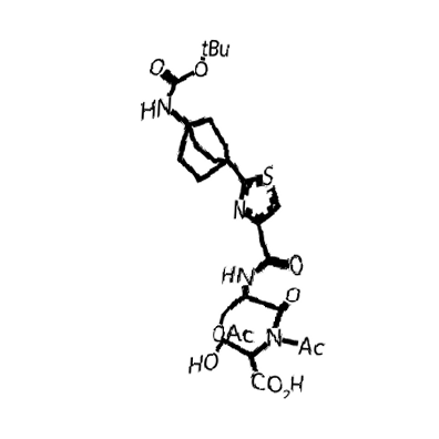 CC(=O)OCC(NC(=O)c1csc(C23CCC(NC(=O)OC(C)(C)C)(CC2)CC3)n1)C(=O)N(C(C)=O)C(CO)C(=O)O